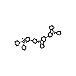 c1ccc(-c2nc3ccc(-c4ccc(-n5c6ccccc6c6cc(-c7ccc8c(c7)c7ccccc7n8-c7ccccc7)ccc65)cc4)cn3c2-c2ccccc2)cc1